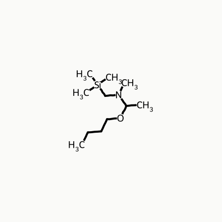 CCCCOC(C)N(C)C[Si](C)(C)C